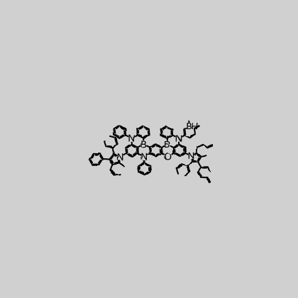 C=C/C=C\C(=C/C)c1c(C)c(/C=C\C=C)n(-c2cc3c4c(c2)N(C(/C=C\C=C)=C/BC)c2ccccc2B4c2cc4c(cc2O3)N(c2ccccc2)c2cc(-n3c(C)c(/C=C\C)c(-c5ccccc5)c3C(/C=C\C)=C/C)cc3c2B4c2ccccc2N3c2ccccc2)c1C(/C=C\C)=C/C